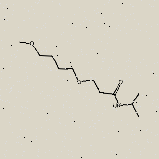 COCCCCOCCC(=O)NC(C)C